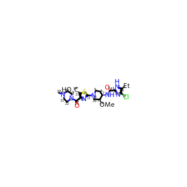 CCc1[nH]c(C(=O)N[C@@H]2CCN(c3nc(C(=O)N4CCN(C)CC4)c(C(=O)O)s3)C[C@@H]2OC)nc1Cl